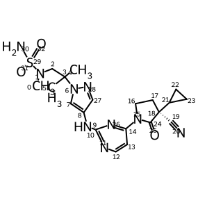 CN(CC(C)(C)n1cc(Nc2nccc(N3CC[C@@](C#N)(C4CC4)C3=O)n2)cn1)S(N)(=O)=O